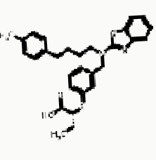 CC[C@@H](Oc1cccc(CN(CCCCc2ccc(C)cc2)c2nc3ccccc3o2)c1)C(=O)O